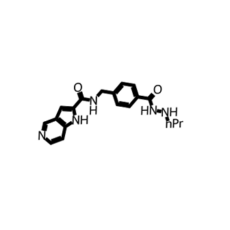 CCCNNC(=O)c1ccc(CNC(=O)c2cc3cnccc3[nH]2)cc1